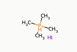 C[PH](C)(C)C.I